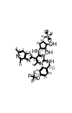 Cc1cc2sc(-c3c(C)nc(N[C@H](C)c4ccc(OC(F)(F)F)cc4)nc3NC3C[C@H](CS(C)(=O)=O)[C@@H](O)[C@H]3O)nc2c(C)n1